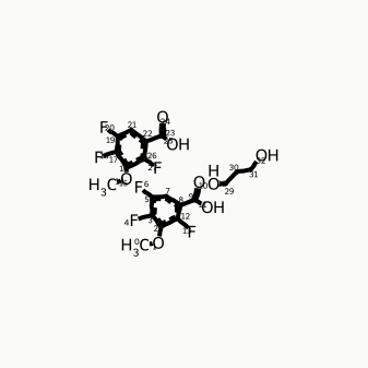 COc1c(F)c(F)cc(C(=O)O)c1F.COc1c(F)c(F)cc(C(=O)O)c1F.OCCCO